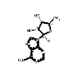 [2H][C@@]1(n2cnc3c(N)ncnc32)O[C@H](C)[C@@H](O)[C@H]1O